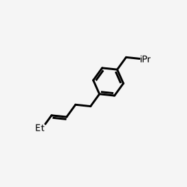 [CH2]CC=CCCc1ccc(CC(C)C)cc1